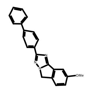 COc1ccc2c(c1)-c1nc(-c3ccc(-c4ccccc4)cc3)nn1C2